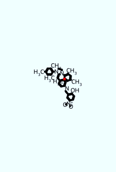 Cc1cc(C)c(N2CCN(c3c(C)cc(C)cc3C)C2=Cc2ccc(N=Cc3cc([N+](=O)[O-])ccc3O)cc2)c(C)c1